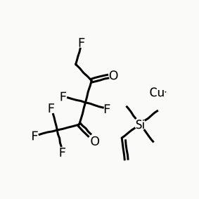 C=C[Si](C)(C)C.O=C(CF)C(F)(F)C(=O)C(F)(F)F.[Cu]